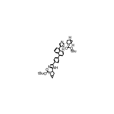 CC(C)(C)OC(=O)N1C(c2ncc(-c3ccc(-c4cccc5c(-c6cnc([C@@H]7C[C@@H]8C[C@H]8N7C(=O)OC(C)(C)C)[nH]6)cccc45)cc3)[nH]2)CC2CC21